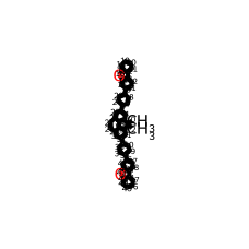 CC1(C)c2cc(-c3ccc(-c4ccc5c(c4)oc4ccccc45)cc3)cc3ccc4cc(-c5ccc(-c6ccc7c(c6)oc6ccccc67)cc5)cc1c4c23